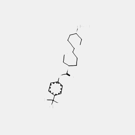 CCCCCCC[C@H]1CC[C@H]([C@H]2CC[C@H](C(=O)Oc3ccc(C(F)(F)C(F)(F)F)cc3)CC2)CC1